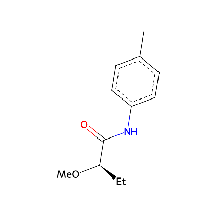 CC[C@@H](OC)C(=O)Nc1ccc(C)cc1